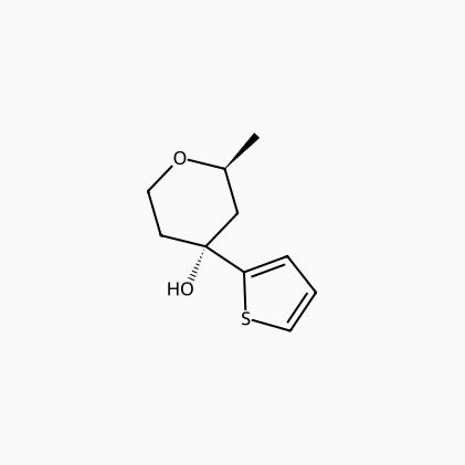 C[C@H]1C[C@@](O)(c2cccs2)CCO1